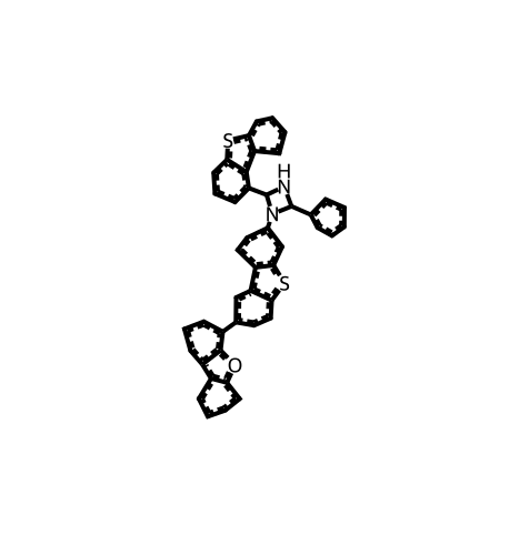 c1ccc(C2NC(c3cccc4sc5ccccc5c34)N2c2ccc3c(c2)sc2ccc(-c4cccc5c4oc4ccccc45)cc23)cc1